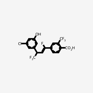 O=C(O)c1ccc(/C(F)=C/C(c2cc(O)cc(Cl)c2)C(F)(F)F)cc1C(F)(F)F